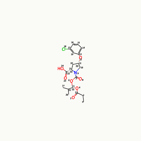 CCC(=O)O[C@@H](OC(=O)N1C[C@@H](Oc2cccc(Cl)c2)C[C@H]1C(=O)O)C(C)C